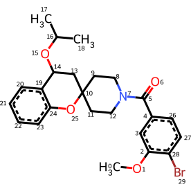 COc1cc(C(=O)N2CCC3(CC2)CC(OC(C)C)c2ccccc2O3)ccc1Br